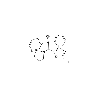 OC(c1cccnc1)(c1cccnc1)C(c1ccc(Cl)s1)N1CCCC1